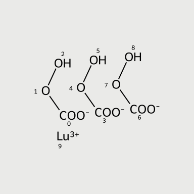 O=C([O-])OO.O=C([O-])OO.O=C([O-])OO.[Lu+3]